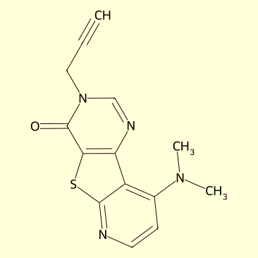 C#CCn1cnc2c(sc3nccc(N(C)C)c32)c1=O